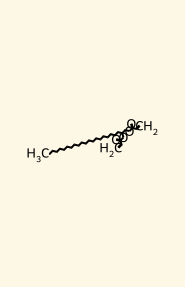 C=CC(=O)OCC(CCCCCCCCCCCCCCCCCCCCC)OC(=O)C=C